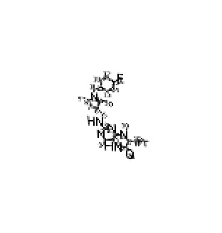 Cc1nc(NCc2cc(C)n(Cc3ccc(F)cc3)c2C)nc2c1NC(=O)C(C(C)C)N2C